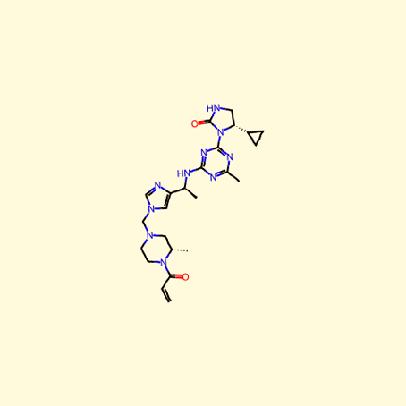 C=CC(=O)N1CCN(Cn2cnc([C@H](C)Nc3nc(C)nc(N4C(=O)NC[C@@H]4C4CC4)n3)c2)C[C@@H]1C